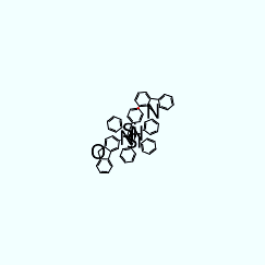 c1ccc([Si]2(c3ccccc3)N(c3cccc(-n4c5ccccc5c5ccccc54)c3)[Si](c3ccccc3)(c3ccccc3)N2c2ccc3oc4ccccc4c3c2)cc1